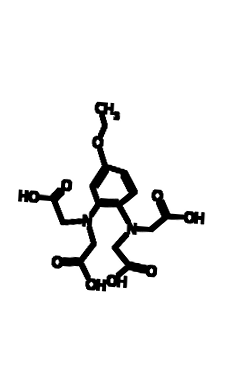 CCOc1ccc(N(CC(=O)O)CC(=O)O)c(N(CC(=O)O)CC(=O)O)c1